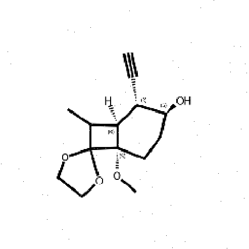 C#C[C@@H]1[C@@H](O)CC[C@]2(OC)[C@H]1C(C)C21OCCO1